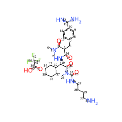 CN(C)C(=O)C(Cc1ccc(C(=N)N)cc1)C(=O)N[C@H](C(=O)N(C)C(=O)NCCCCN)C1CCCCC1.O=C(O)C(F)(F)F